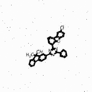 CC1(C)c2ccccc2-c2ccc(-c3nc(-c4ccccc4)nc(-c4cccc5c4oc4ccc(Cl)cc45)n3)cc21